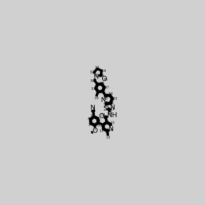 COc1ccc(C#N)cc1-c1cc(C)ncc1C(=O)Nc1nc2ccc(-c3ccc(CN4CCCC4=O)cc3C)nc2s1